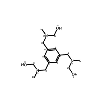 CN(CO)Cc1[c]c(CN(C)CO)cc(CN(C)CO)c1